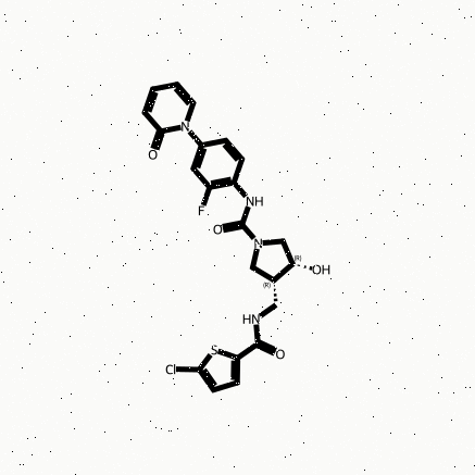 O=C(NC[C@@H]1CN(C(=O)Nc2ccc(-n3ccccc3=O)cc2F)C[C@@H]1O)c1ccc(Cl)s1